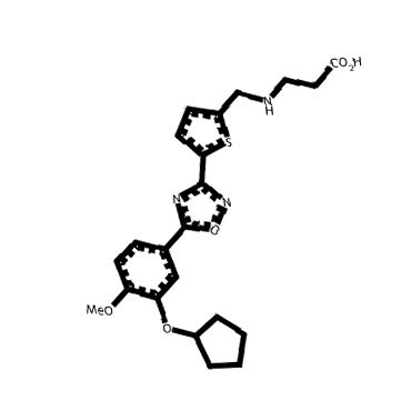 COc1ccc(-c2nc(-c3ccc(CNCCC(=O)O)s3)no2)cc1OC1CCCC1